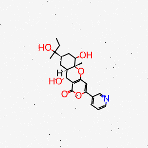 CCC(C)(O)[C@H]1C[C@@H](O)[C@]2(C)Oc3cc(-c4cccnc4)oc(=O)c3[C@H](O)[C@H]2C1